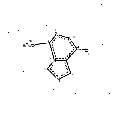 CSc1nnc(Br)c2cncn12